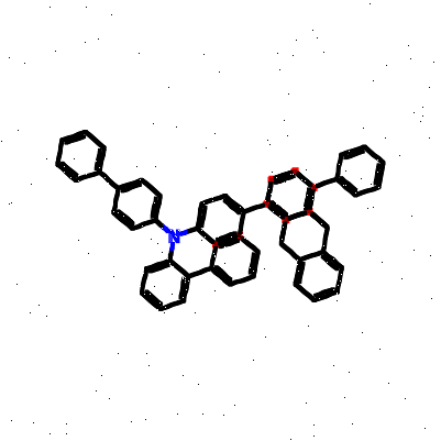 c1ccc(-c2ccc(N(c3ccc(-c4ccc(-c5ccccc5)c5c4C4c6ccccc6C5c5ccccc54)cc3)c3ccccc3-c3ccccc3)cc2)cc1